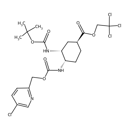 CC(C)(C)OC(=O)N[C@@H]1C[C@@H](C(=O)OCC(Cl)(Cl)Cl)CC[C@@H]1NC(=O)OCc1ccc(Cl)cn1